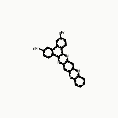 CCCc1ccc2c(c1)c1cc(CCC)ccc1c1nc3cc4nc5ccccc5nc4cc3nc21